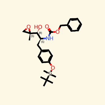 CC(C)(C)[Si](C)(C)Oc1ccc(C[C@H](NC(=O)OCc2ccccc2)[C@@H](O)[C@]2(C)CO2)cc1